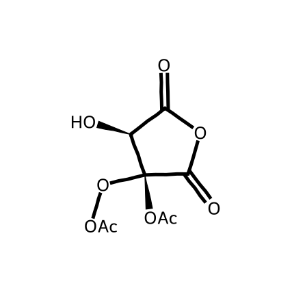 CC(=O)OO[C@@]1(OC(C)=O)C(=O)OC(=O)[C@@H]1O